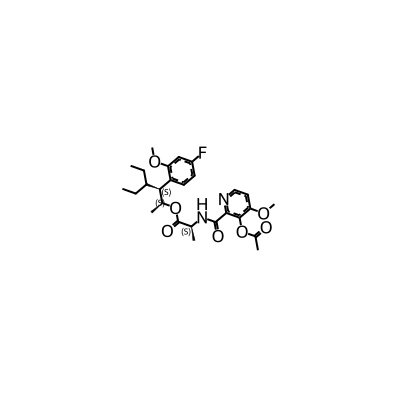 CCC(CC)[C@@H](c1ccc(F)cc1OC)[C@H](C)OC(=O)[C@H](C)NC(=O)c1nccc(OC)c1OC(C)=O